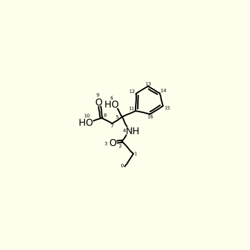 CCC(=O)NC(O)(CC(=O)O)c1ccccc1